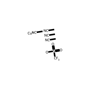 CC#N.CC#N.CC#N.CC#N.O=S(=O)([O-])C(F)(F)F.[Cu+]